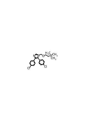 C[Si](C)(C)CCOCn1cnc(-c2ccc(Cl)cc2)c1-c1ccc(Cl)cc1